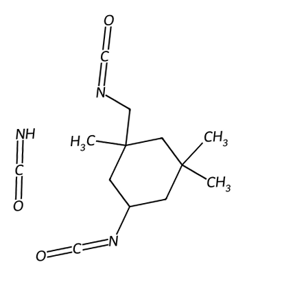 CC1(C)CC(N=C=O)CC(C)(CN=C=O)C1.N=C=O